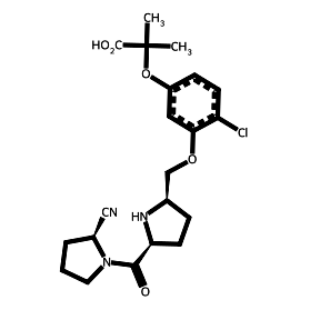 CC(C)(Oc1ccc(Cl)c(OC[C@H]2CC[C@@H](C(=O)N3CCC[C@H]3C#N)N2)c1)C(=O)O